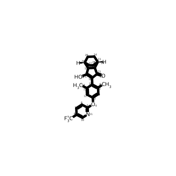 Cc1cc(Oc2ccc(C(F)(F)F)cn2)cc(C)c1C1=C(O)C2C(C1=O)[C@H]1CC[C@@H]2CC1